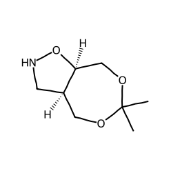 CC1(C)OC[C@H]2CNO[C@H]2CO1